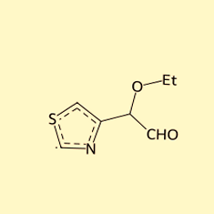 CCOC(C=O)c1cs[c]n1